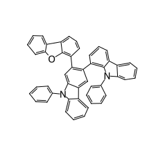 c1ccc(-n2c3ccccc3c3cc(-c4cccc5c6ccccc6n(-c6ccccc6)c45)c(-c4cccc5c4oc4ccccc45)cc32)cc1